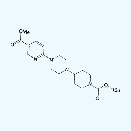 COC(=O)c1ccc(N2CCN(C3CCN(C(=O)OC(C)(C)C)CC3)CC2)nc1